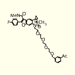 CNC(=O)c1c(-c2ccc(F)cc2)oc2cc(N(CCOCCOCCOCCOCc3cccc(C(C)=O)c3)S(C)(=O)=O)c(C3CC3)cc12